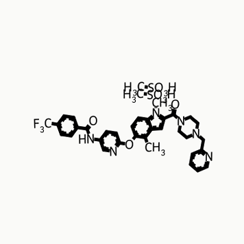 CS(=O)(=O)O.CS(=O)(=O)O.Cc1c(Oc2ccc(NC(=O)c3ccc(C(F)(F)F)cc3)cn2)ccc2c1cc(C(=O)N1CCN(Cc3ccccn3)CC1)n2C